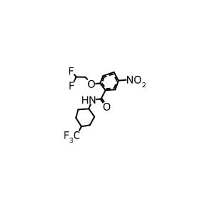 O=C(NC1CCC(C(F)(F)F)CC1)c1cc([N+](=O)[O-])ccc1OCC(F)F